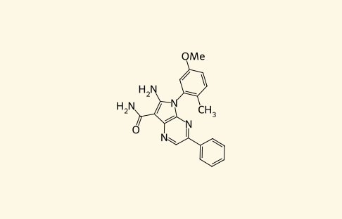 COc1ccc(C)c(-n2c(N)c(C(N)=O)c3ncc(-c4ccccc4)nc32)c1